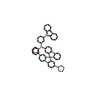 c1ccc(N(c2cccc(-n3c4ccccc4c4ccccc43)c2)c2ccc3c(c2)C2(c4ccccc4-3)c3cc(C4CCCC4)ccc3-c3ccc(C4CCCC4)cc32)cc1